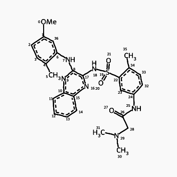 COc1ccc(C)c(Nc2nc3ccccc3nc2NS(=O)(=O)c2cc(NC(=O)CN(C)C)ccc2C)c1